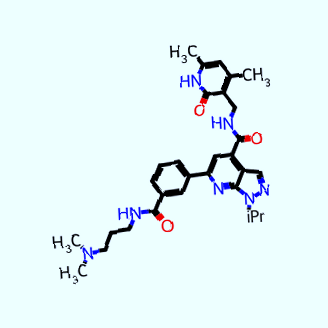 Cc1cc(C)c(CNC(=O)c2cc(-c3cccc(C(=O)NCCCN(C)C)c3)nc3c2cnn3C(C)C)c(=O)[nH]1